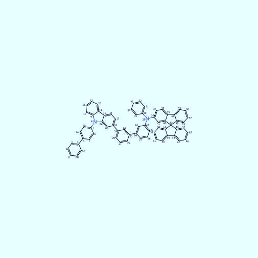 c1ccc(-c2ccc(-n3c4ccccc4c4ccc(-c5cccc(-c6cccc(N(c7ccccc7)c7ccc8c(c7)C7(c9ccccc9-c9ccccc97)c7ccccc7-8)c6)c5)cc43)cc2)cc1